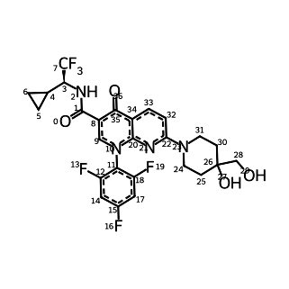 O=C(N[C@@H](C1CC1)C(F)(F)F)c1cn(-c2c(F)cc(F)cc2F)c2nc(N3CCC(O)(CO)CC3)ccc2c1=O